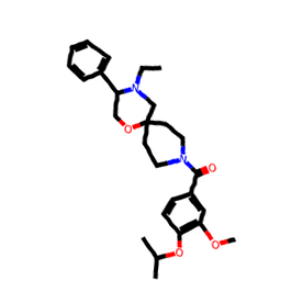 CCN1CC2(CCN(C(=O)c3ccc(OC(C)C)c(OC)c3)CC2)OCC1c1ccccc1